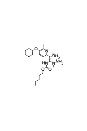 CCCCCOC(=O)N/C(=C(/N)c1ccc(OC2CCCCC2)c(C)n1)N(C)N